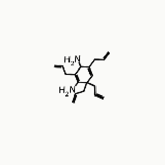 C=CCC1=CC(CC=C)(CC=C)C(N)=C(CC=C)C1N